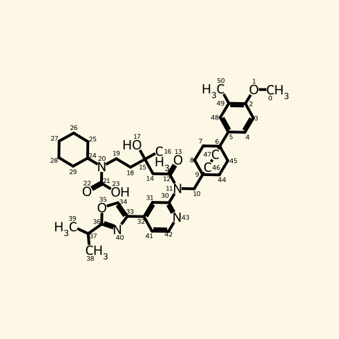 COc1ccc(C23CCC(CN(C(=O)CC(C)(O)CCN(C(=O)O)C4CCCCC4)c4cc(-c5coc(C(C)C)n5)ccn4)(CC2)CC3)cc1C